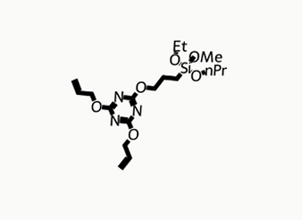 C=CCOc1nc(OCC=C)nc(OCCC[Si](OC)(OCC)OCCC)n1